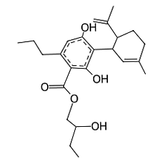 C=C(C)C1CCC(C)=CC1c1c(O)cc(CCC)c(C(=O)OCC(O)CC)c1O